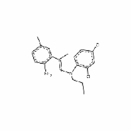 CCCN(/N=C(\C)c1cc(C)ccc1N)c1ccc(Cl)cc1Cl